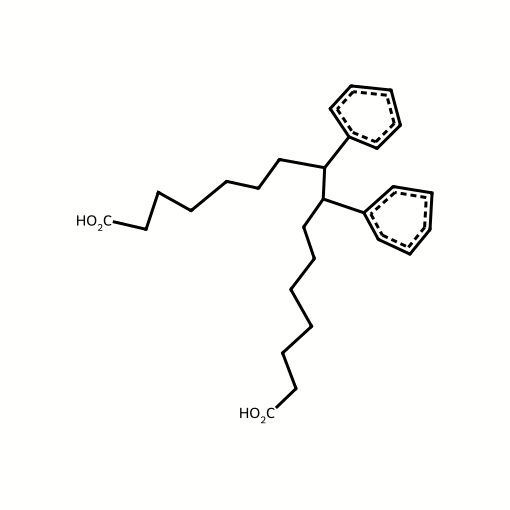 O=C(O)CCCCCCC(c1ccccc1)C(CCCCCCC(=O)O)c1ccccc1